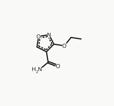 CCOc1nocc1C(N)=O